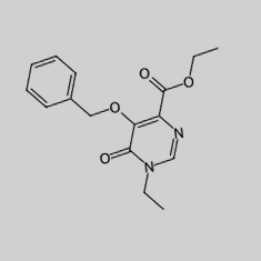 CCOC(=O)c1ncn(CC)c(=O)c1OCc1ccccc1